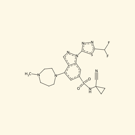 CN1CCCN(c2cc(S(=O)(=O)NC3(C#N)CC3)cc3c2cnn3-c2nnc(C(F)F)s2)CC1